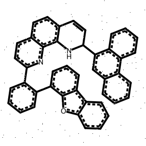 C1=CC(c2cc3ccccc3c3ccccc23)Nc2c1ccc1ccc(-c3ccccc3-c3cccc4c3oc3ccccc34)nc21